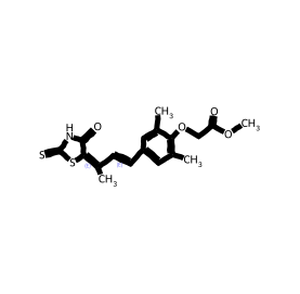 COC(=O)COc1c(C)cc(/C=C/C(C)=C2/SC(=S)NC2=O)cc1C